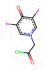 O=C(Cl)Cn1cc(I)c(=O)c(I)c1